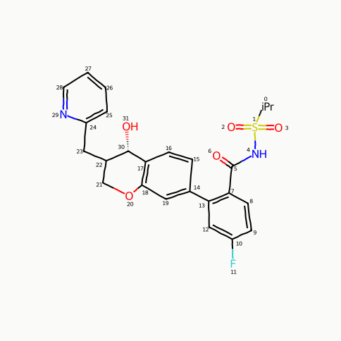 CC(C)S(=O)(=O)NC(=O)c1ccc(F)cc1-c1ccc2c(c1)OCC(Cc1ccccn1)[C@@H]2O